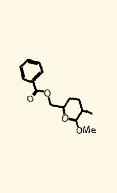 COC1OC(COC(=O)c2ccccc2)CCC1C